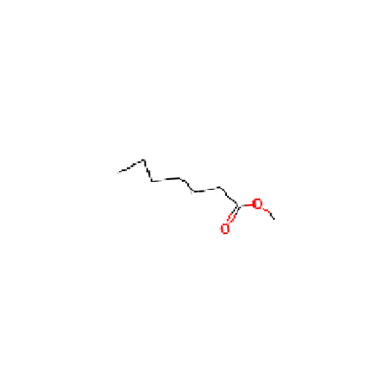 CCCC[CH]CC(=O)OC